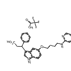 O=C(O)C(F)(F)F.O=C(O)CC(c1ccccc1)c1c[nH]c2ccc(OCCCCNc3ccccn3)cc12